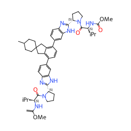 C=C(N[C@H](C(=O)N1CCC[C@H]1c1nc2ccc(-c3ccc(-c4ccc5nc([C@@H]6CCCN6C(=O)[C@@H](NC(=O)OC)C(C)C)[nH]c5c4)c4c3CC3(CCC(C)CC3)C4)cc2[nH]1)C(C)C)OC